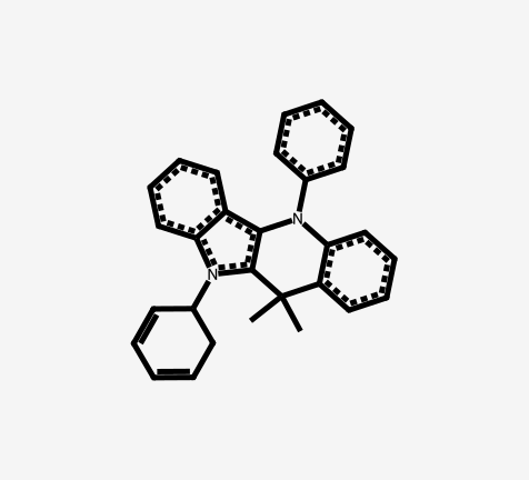 CC1(C)c2ccccc2N(c2ccccc2)c2c1n(C1C=CC=CC1)c1ccccc21